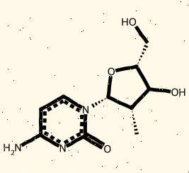 C[C@H]1C(O)[C@@H](CO)O[C@H]1n1ccc(N)nc1=O